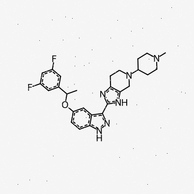 CC(Oc1ccc2[nH]nc(-c3nc4c([nH]3)CN(C3CCN(C)CC3)CC4)c2c1)c1cc(F)cc(F)c1